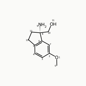 COc1ccc2c(c1)[C@](N)(CO)CC2